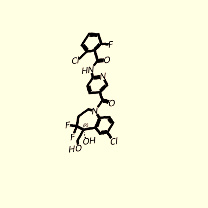 O=C(Nc1ccc(C(=O)N2CCC(F)(F)[C@](O)(CO)c3cc(Cl)ccc32)cn1)c1c(F)cccc1Cl